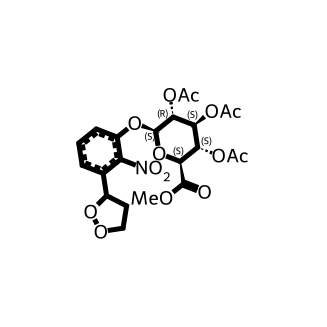 COC(=O)[C@H]1O[C@@H](Oc2cccc(C3CCOO3)c2[N+](=O)[O-])[C@H](OC(C)=O)[C@@H](OC(C)=O)[C@@H]1OC(C)=O